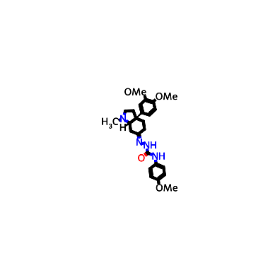 COc1ccc(NC(=O)N/N=C2\CC[C@@]3(c4ccc(OC)c(OC)c4)CCN(C)[C@H]3C2)cc1